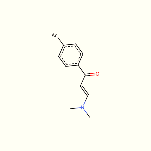 CC(=O)c1ccc(C(=O)/C=C/N(C)C)cc1